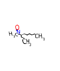 CCCCCCC(CCC)/C(C)=N/C=O